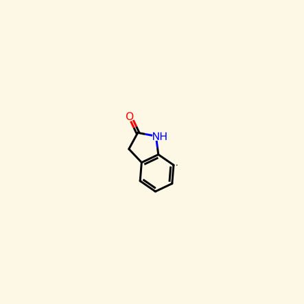 O=C1Cc2ccc[c]c2N1